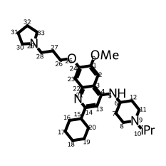 COc1cc2c(NC3CCN(C(C)C)CC3)cc(C3CCCCC3)nc2cc1OCCCN1CCCC1